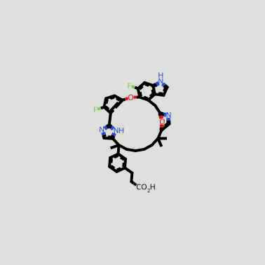 CC1(C)CCCCC(C)(c2cccc(CCC(=O)O)c2)c2cnc([nH]2)-c2cc(ccc2F)Oc2c(F)cc3[nH]ccc3c2Cc2ncc1o2